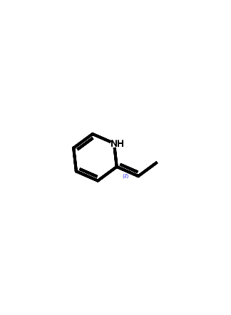 C/C=C1/C=CC=CN1